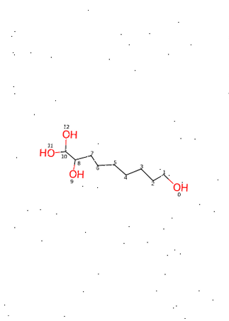 OCCCCCCCC(O)C(O)O